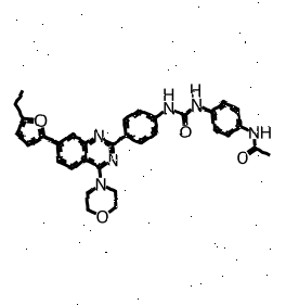 CCc1ccc(-c2ccc3c(N4CCOCC4)nc(-c4ccc(NC(=O)Nc5ccc(NC(C)=O)cc5)cc4)nc3c2)o1